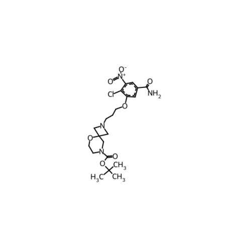 CC(C)(C)OC(=O)N1CCOC2(CN(CCCOc3cc(C(N)=O)cc([N+](=O)[O-])c3Cl)C2)C1